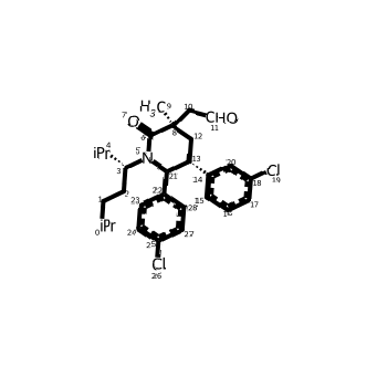 CC(C)CC[C@H](C(C)C)N1C(=O)[C@@](C)(CC=O)C[C@H](c2cccc(Cl)c2)C1c1ccc(Cl)cc1